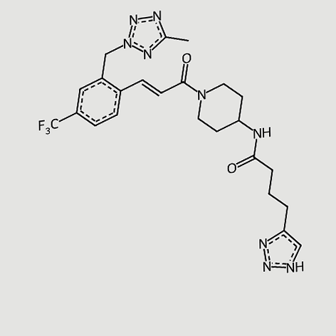 Cc1nnn(Cc2cc(C(F)(F)F)ccc2C=CC(=O)N2CCC(NC(=O)CCCc3c[nH]nn3)CC2)n1